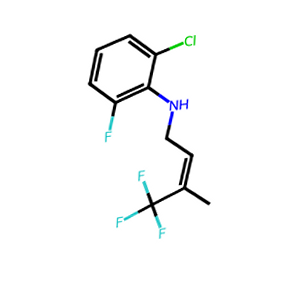 CC(=CCNc1c(F)cccc1Cl)C(F)(F)F